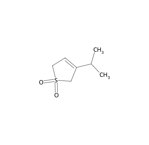 CC(C)C1=CCS(=O)(=O)C1